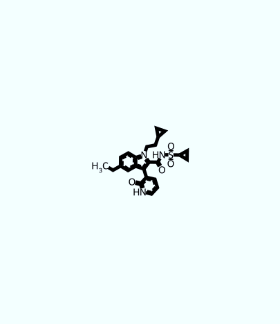 CCc1ccc2c(c1)c(-c1ccc[nH]c1=O)c(C(=O)NS(=O)(=O)C1CC1)n2CCC1CC1